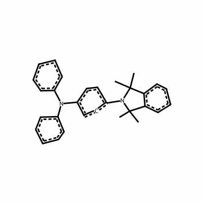 CC1(C)c2ccccc2C(C)(C)N1c1ccc(N(c2ccccc2)c2ccccc2)cc1